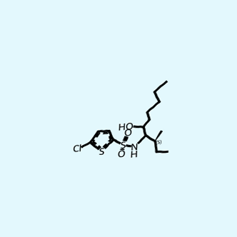 CCCCCC(O)C(NS(=O)(=O)c1ccc(Cl)s1)[C@@H](C)CC